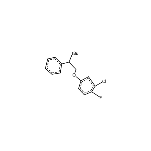 CC(C)(C)C(COc1ccc(F)c(Cl)c1)c1ccccc1